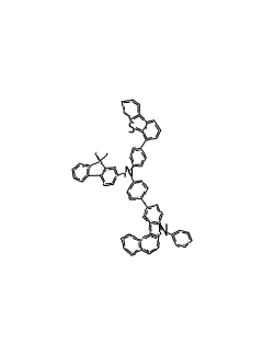 CC1(C)c2ccccc2-c2ccc(N(c3ccc(-c4ccc5c(c4)c4c6ccccc6ccc4n5-c4ccccc4)cc3)c3ccc(-c4cccc5c4sc4ccccc45)cc3)cc21